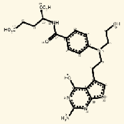 Nc1nc(O)c2c(CCN(CCO)c3ccc(C(=O)N[C@@H](CCC(=O)O)C(=O)O)cc3)c[nH]c2n1